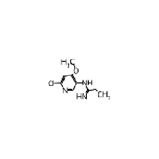 CCC(=N)Nc1cnc(Cl)cc1OC